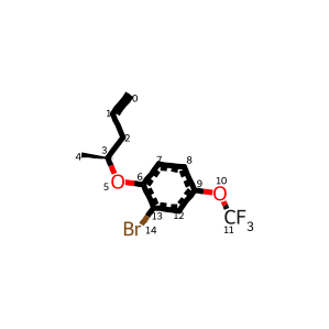 C=CC[C@H](C)Oc1ccc(OC(F)(F)F)cc1Br